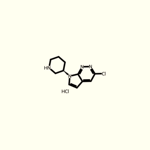 Cl.Clc1cc2ccn([C@@H]3CCCNC3)c2nn1